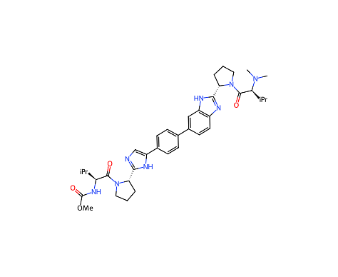 COC(=O)N[C@H](C(=O)N1CCC[C@H]1c1ncc(-c2ccc(-c3ccc4nc([C@@H]5CCCN5C(=O)[C@H](C(C)C)N(C)C)[nH]c4c3)cc2)[nH]1)C(C)C